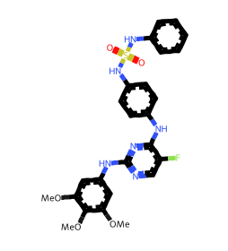 COc1cc(Nc2ncc(F)c(Nc3ccc(NS(=O)(=O)Nc4ccccc4)cc3)n2)cc(OC)c1OC